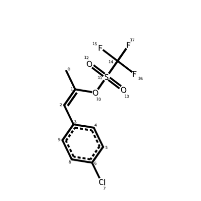 CC(=Cc1ccc(Cl)cc1)OS(=O)(=O)C(F)(F)F